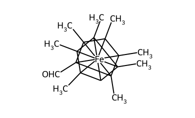 C[C]12[CH]3[C]4(C)[C]5(C)[C]1(C)[Fe]32451678[C]2(C)[C]1(C)[C]6(C)[C]7(C=O)[C]28C